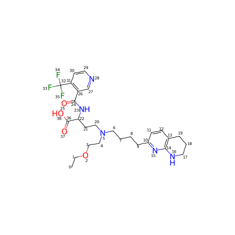 CCOCCN(CCCCc1ccc2c(n1)NCCC2)CCC(NC(=O)c1cnccc1C(F)(F)F)C(=O)O